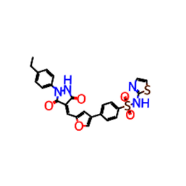 CCc1ccc(N2NC(=O)/C(=C\c3cc(-c4ccc(S(=O)(=O)Nc5nccs5)cc4)co3)C2=O)cc1